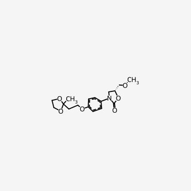 COC[C@H]1CN(c2ccc(OCCC3(C)OCCO3)cc2)C(=O)O1